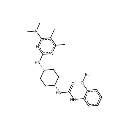 CCOc1ccccc1NC(=O)N[C@H]1CC[C@@H](Nc2nc(C)c(C)c(N(C)C)n2)CC1